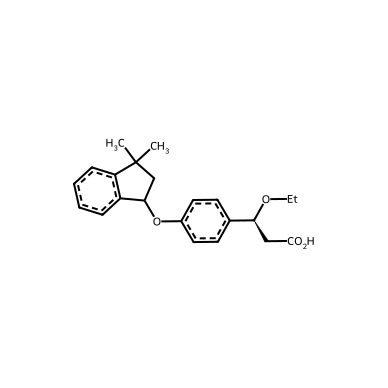 CCO[C@@H](CC(=O)O)c1ccc(OC2CC(C)(C)c3ccccc32)cc1